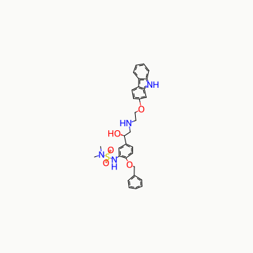 CN(C)S(=O)(=O)Nc1cc([C@@H](O)CNCCOc2ccc3c(c2)[nH]c2ccccc23)ccc1OCc1ccccc1